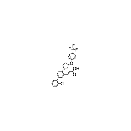 O=C(O)/C=C/c1cc(-c2ccccc2Cl)ccc1N1CCC(Oc2ccc(C(F)(F)F)cn2)C1